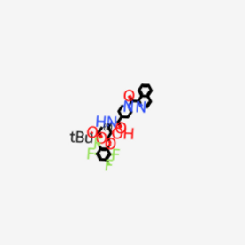 CC(C)(C)OC(=O)C[C@H](NC(=O)C1CCN(C(=O)c2nccc3ccccc23)CC1)C(O)COc1c(F)c(F)cc(F)c1F